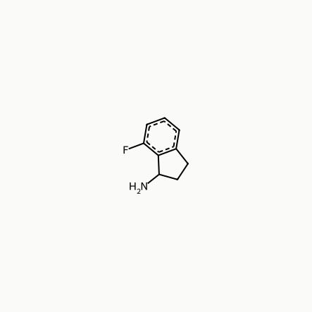 NC1CCc2cccc(F)c21